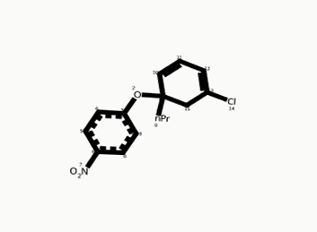 CCCC1(Oc2ccc([N+](=O)[O-])cc2)C=CC=C(Cl)C1